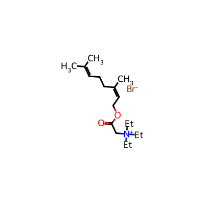 CC[N+](CC)(CC)CC(=O)OCC=C(C)CCC=C(C)C.[Br-]